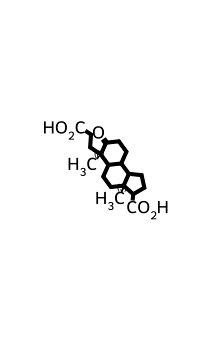 C[C@]12CCC3C(CCC(=O)[C@]3(C)CCC(=O)O)C1CCC2C(=O)O